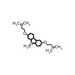 CN(C)CCOc1ccc2c(c1)c1ccc(OCCN(C)C)cc1n2C